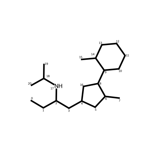 CCC(CC1CC(C)C(C2CCCCC2C)C1)NC(C)C